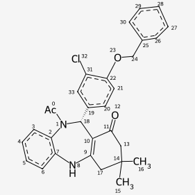 CC(=O)N1c2ccccc2NC2=C(C(=O)CC(C)(C)C2)[C@H]1c1ccc(OCc2ccccc2)c(Cl)c1